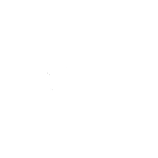 CC(C)(C)c1ccc(-c2ccnc(N3CCOCC3)c2)cc1